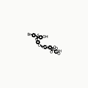 O=C1CCC(N2C(=O)c3ccc(N4CCN(CCOc5ccc(Oc6c(-c7ccc(Br)cc7)sc7cc(O)ccc67)cc5)CC4)cc3C2=O)C(=O)N1